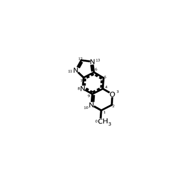 CC1COc2cc3c(nc2=N1)N=CN=3